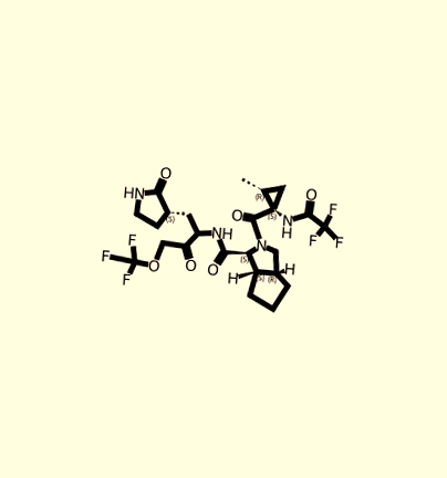 C[C@@H]1C[C@@]1(NC(=O)C(F)(F)F)C(=O)N1C[C@@H]2CCC[C@@H]2[C@H]1C(=O)NC(C[C@@H]1CCNC1=O)C(=O)COC(F)(F)F